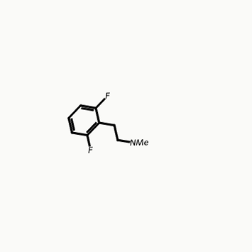 CNCCc1c(F)cccc1F